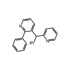 CC(C)C(c1ccccn1)c1cccnc1-c1ccccc1